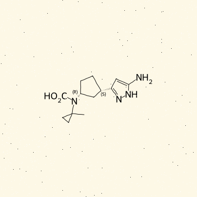 CC1(N(C(=O)O)[C@@H]2CC[C@H](c3cc(N)[nH]n3)C2)CC1